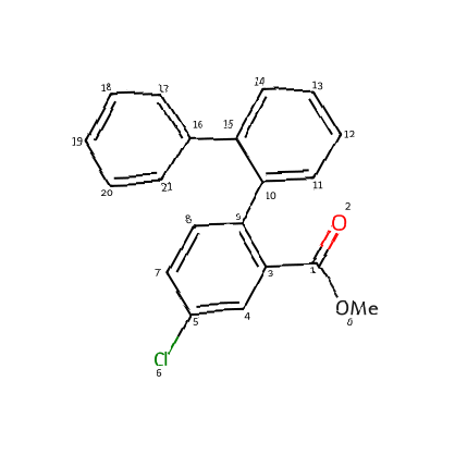 COC(=O)c1cc(Cl)ccc1-c1ccccc1-c1ccccc1